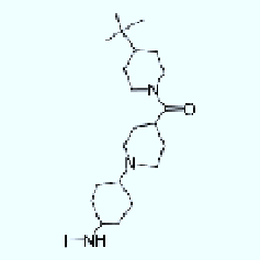 CC(C)(C)C1CCN(C(=O)C2CCN(C3CCC(NI)CC3)CC2)CC1